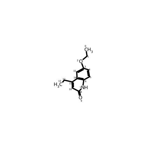 CCOc1ccc2[nH]c(=O)cc(CC)c2c1